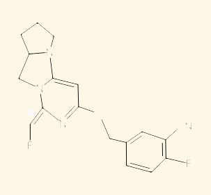 CC/C=C1\N=C(OCc2ccc(F)c(C#N)c2)C=C2N1CC1CCCN21